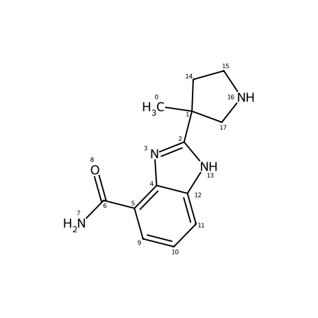 CC1(c2nc3c(C(N)=O)cccc3[nH]2)CCNC1